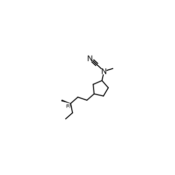 CC[C@@H](C)CCC1CCC(N(C)C#N)C1